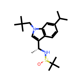 CC(C)c1ccc2c([C@@H](C)N[S@@+]([O-])C(C)(C)C)cn(CC(C)(C)C)c2c1